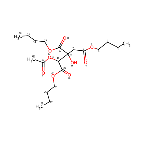 CCCCOC(=O)CC(O)(C(=O)OCCCC)C(OC(C)=O)C(=O)OCCCC